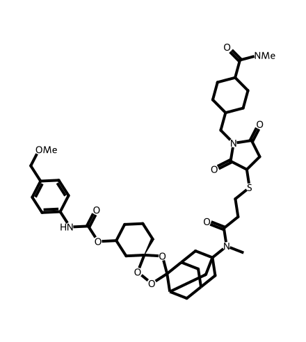 CNC(=O)C1CCC(CN2C(=O)CC(SCCC(=O)N(C)C34CC5CC(C3)C3(OO[C@@]6(CCCC(OC(=O)Nc7ccc(COC)cc7)C6)O3)C(C5)C4)C2=O)CC1